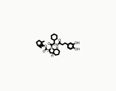 CC1(C)C2CCC1(C)C(OC(=O)[C@@H]1C[C@H]3CCCCC3N1C(=O)[C@@H](NC(=O)CCc1ccc(O)c(O)c1)C1CCCCC1)C2